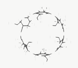 OC[C@H]1O[C@@H]2O[C@H]3[C@@H](O)[C@H](O)[C@@H](O[C@H]4[C@@H](O)[C@H](O)[C@@H](O[C@H]5[C@@H](O)[C@H](O)[C@@H](O[C@H]6[C@@H](O)[C@H](O)[C@@H](O[C@H]7[C@@H](O)[C@H](O)[C@@H](O[C@H]1[C@@H](O)[C@@H]2O)O[C@@H]7CO)O[C@@H]6CO)O[C@@H]5CO)O[C@@H]4CO)O[C@@H]3CO